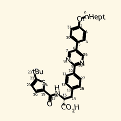 CCCCCCCOc1ccc(-c2cnc(-c3ccc(C[C@@H](NC(=O)c4ccc(C(C)(C)C)s4)C(=O)O)cc3)nc2)cc1